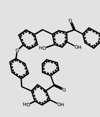 O=C(c1ccccc1)c1cc(Cc2ccc(Oc3ccc(Cc4cc(C(=O)c5ccccc5)c(O)cc4O)cc3)cc2)c(O)cc1O